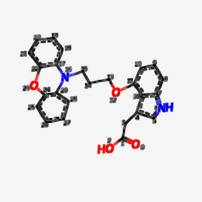 O=C(O)Cc1c[nH]c2cccc(OCCCN3c4ccccc4Oc4ccccc43)c12